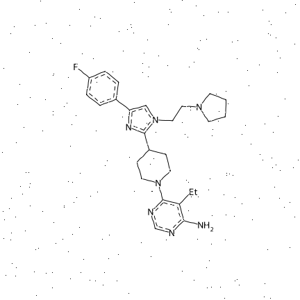 CCc1c(N)ncnc1N1CCC(c2nc(-c3ccc(F)cc3)cn2CCN2CCCC2)CC1